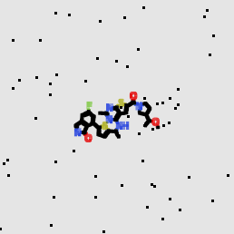 COC(C)C1CCN(C(=O)c2cc3c(NC(C)c4ccc(-c5cc(F)cc6c5C(=O)N=C6)s4)nc(C)nc3s2)C1